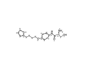 N[C@@H](CO)C(=O)Nc1ccc(OCCCCc2cccs2)cc1